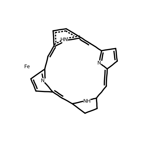 C1=CC2=NC1=CC1CCC(C=C3C=CC(=N3)C=c3ccc([nH]3)=C2)N1.[Fe]